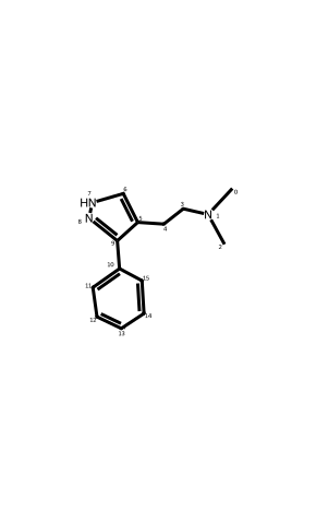 CN(C)CCc1c[nH]nc1-c1cc[c]cc1